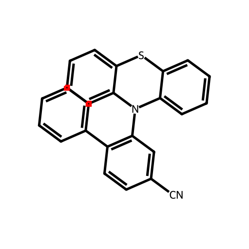 N#Cc1ccc(-c2ccccc2)c(N2c3ccccc3Sc3ccccc32)c1